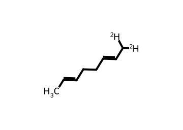 [2H]C([2H])C=CCCC=CC